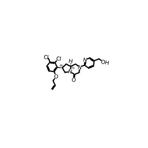 C=CCOc1ccc(Cl)c(Cl)c1[C@H]1C[C@H]2CN(c3ccc(CO)cn3)CC(=O)N2C1